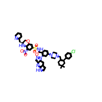 CC1(C)CCC(CN2CCN(c3ccc(C(=O)NS(=O)(=O)c4cc5c(c([N+](=O)[O-])c4)N[C@@H](Cc4ccccn4)CO5)c(-n4ncc5nc6[nH]ccc6cc54)c3)CC2)=C(c2ccc(Cl)cc2)C1